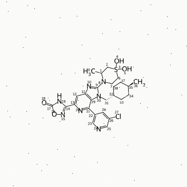 CC1CS(O)(O)CCN1c1nc2cc(-c3noc(=O)[nH]3)nc(-c3cncc(Cl)c3)c2n1C[C@H]1CC[C@H](C)CC1